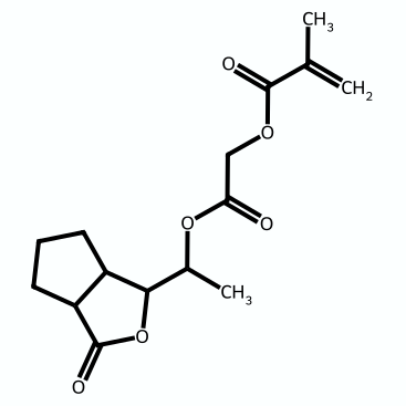 C=C(C)C(=O)OCC(=O)OC(C)C1OC(=O)C2CCCC21